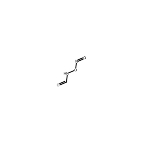 O=CNON=O